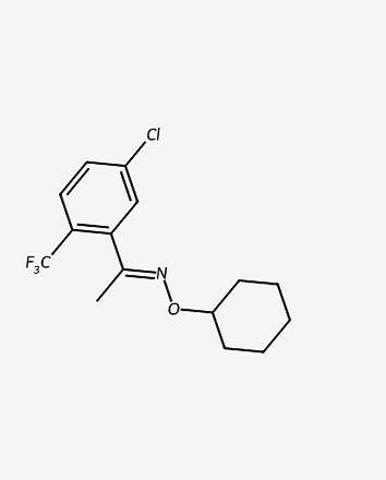 C/C(=N\OC1CCCCC1)c1cc(Cl)ccc1C(F)(F)F